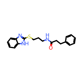 O=C(CCc1ccccc1)NCCCSc1nc2ccccc2[nH]1